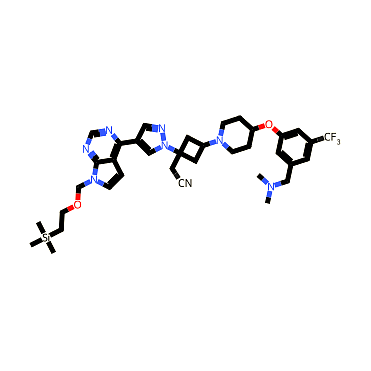 CN(C)Cc1cc(OC2CCN(C3CC(CC#N)(n4cc(-c5ncnc6c5ccn6COCC[Si](C)(C)C)cn4)C3)CC2)cc(C(F)(F)F)c1